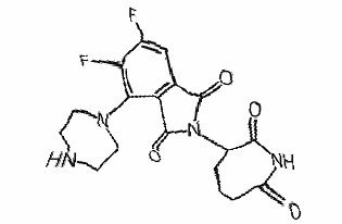 O=C1CCC(N2C(=O)c3cc(F)c(F)c(N4CCNCC4)c3C2=O)C(=O)N1